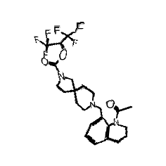 CC(=O)N1CCCc2cccc(CN3CCC4(CC3)CCN(C(=O)OC(C(F)(F)F)C(F)(F)F)C4)c21